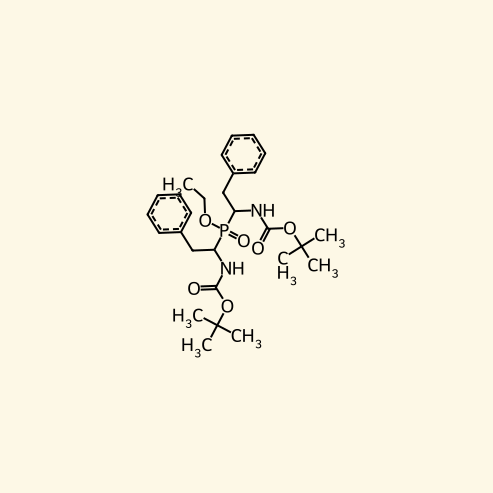 CCOP(=O)(C(Cc1ccccc1)NC(=O)OC(C)(C)C)C(Cc1ccccc1)NC(=O)OC(C)(C)C